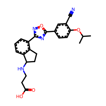 CC(C)Oc1ccc(-c2nc(-c3cccc4c3CCC4NCCC(=O)O)no2)cc1C#N